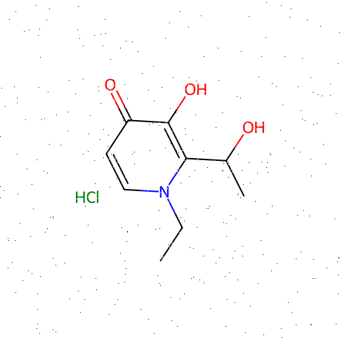 CCn1ccc(=O)c(O)c1C(C)O.Cl